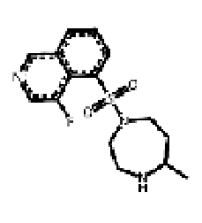 CC1CCN(S(=O)(=O)c2cccc3cncc(F)c23)CCN1